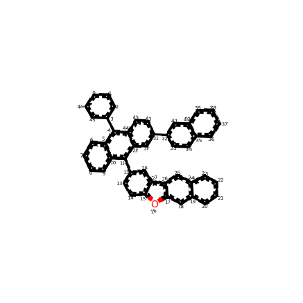 c1ccc(-c2c3ccccc3c(-c3ccc4oc5cc6ccccc6cc5c4c3)c3cc(-c4ccc5ccccc5c4)ccc23)cc1